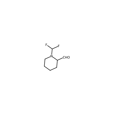 O=CC1CCCCN1C(F)F